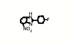 O=[N+]([O-])c1cccc2[nH]c(-c3ccc(F)cc3)nc12